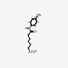 CN(C(=O)CCCCCC(=O)O)c1ccc(C#N)cc1